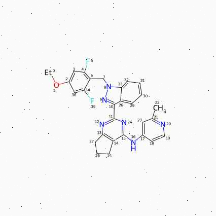 CCOc1cc(F)c(Cn2nc(-c3nc4c(c(Nc5ccnc(C)c5)n3)CCC4)c3ccccc32)c(F)c1